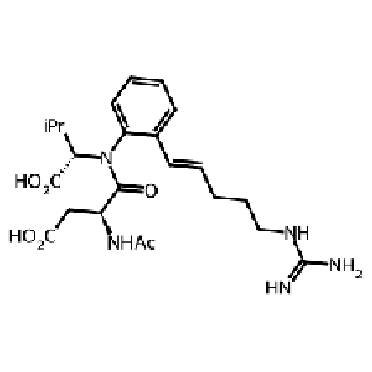 CC(=O)N[C@@H](CC(=O)O)C(=O)N(c1ccccc1C=CCCCNC(=N)N)[C@H](C(=O)O)C(C)C